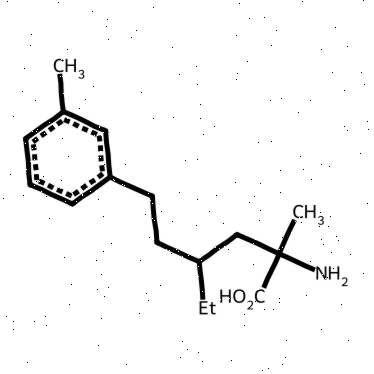 CCC(CCc1cccc(C)c1)CC(C)(N)C(=O)O